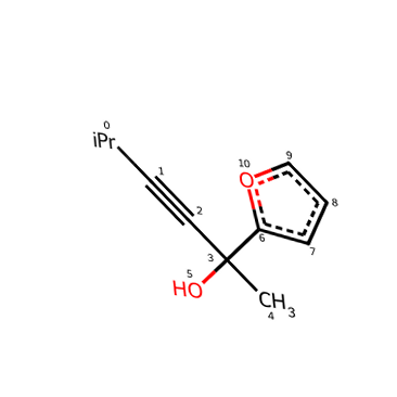 CC(C)C#CC(C)(O)c1ccco1